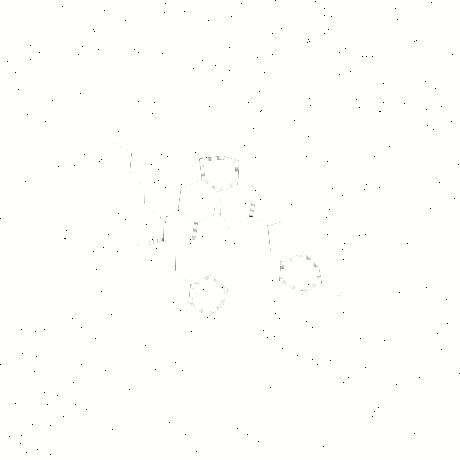 CCCCCN(C(=O)OCc1ccccc1)C(Cc1ccccc1)C(=O)NOC(=O)C(C)Cc1ccc(O)cc1